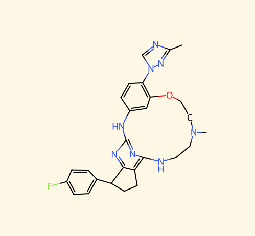 Cc1ncn(-c2ccc3cc2OCCN(C)CCNc2nc(nc4c2CCC4c2ccc(F)cc2)N3)n1